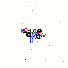 CC(=O)N1CCc2nc(Nc3ccc(-c4cnco4)cc3)nc(N(C)[C@@H]3CCCO3)c2C1